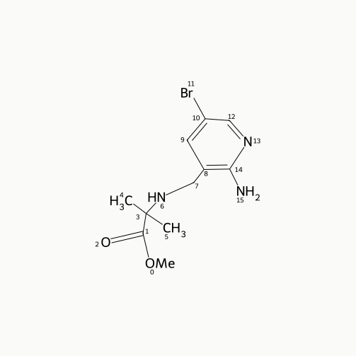 COC(=O)C(C)(C)NCc1cc(Br)cnc1N